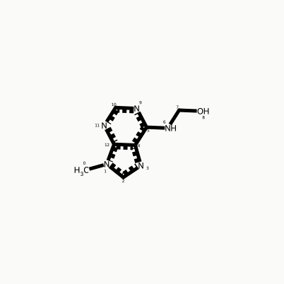 Cn1cnc2c(NCO)ncnc21